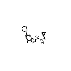 Cc1cc(N2CCCCC2)nc2c(C(=O)N[C@@H](C)C3CC3)cnn12